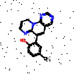 Cc1ccc(O)c(C2=Cc3cncnc3N3CC=CN=C23)c1